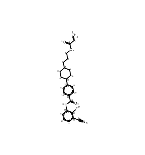 C=CC(=O)OCCCC1CCC(c2ccc(C(=O)Oc3cccc(C#N)c3F)cc2)CC1